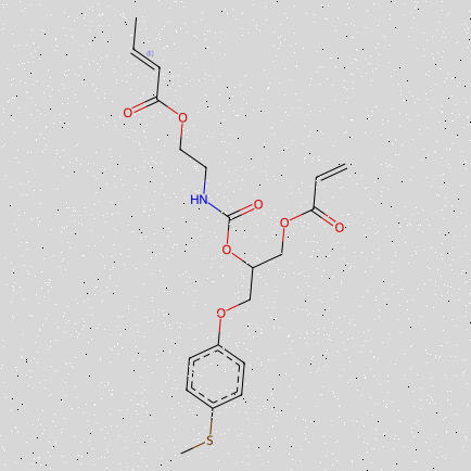 C=CC(=O)OCC(COc1ccc(SC)cc1)OC(=O)NCCOC(=O)/C=C/C